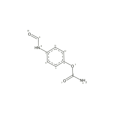 NC(=O)Oc1ccc(NC=O)cc1